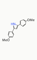 COc1ccc(-c2c[nH]c(-c3ccc(OC)cc3)c2)cc1